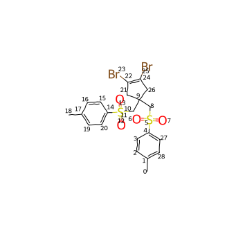 Cc1ccc(S(=O)(=O)CC2(CS(=O)(=O)c3ccc(C)cc3)CC(Br)=C(Br)C2)cc1